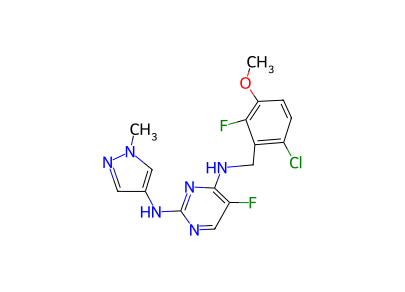 COc1ccc(Cl)c(CNc2nc(Nc3cnn(C)c3)ncc2F)c1F